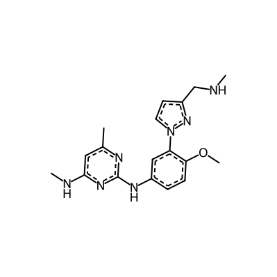 CNCc1ccn(-c2cc(Nc3nc(C)cc(NC)n3)ccc2OC)n1